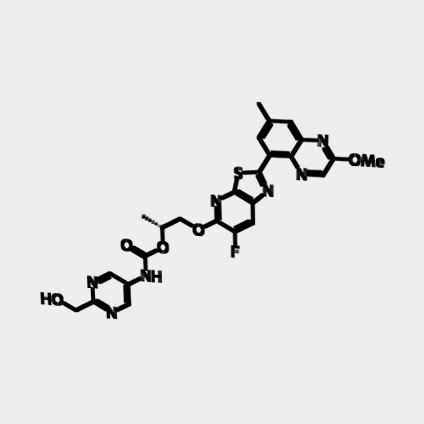 COc1cnc2c(-c3nc4cc(F)c(OC[C@@H](C)OC(=O)Nc5cnc(CO)nc5)nc4s3)cc(C)cc2n1